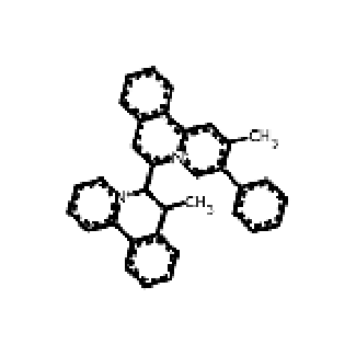 Cc1cc2c3ccccc3cc(C3C(C)c4ccccc4-c4cccc[n+]43)[n+]2cc1-c1ccccc1